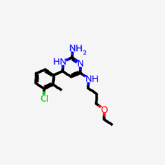 CCOCCCNC1=CC(c2cccc(Cl)c2C)NC(N)=N1